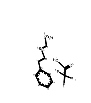 O=C(O)C(F)(F)F.O=C(O)CNCCc1ccccc1